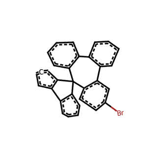 Brc1ccc2c(c1)-c1ccccc1-c1ccccc1C21c2ccccc2-c2ccccc21